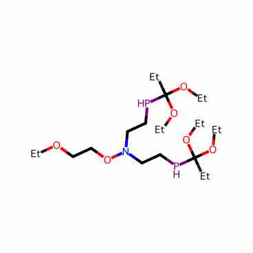 CCOCCON(CCPC(CC)(OCC)OCC)CCPC(CC)(OCC)OCC